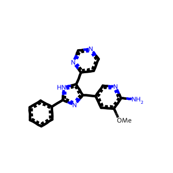 COc1cc(-c2nc(-c3ccccc3)[nH]c2-c2ccncn2)cnc1N